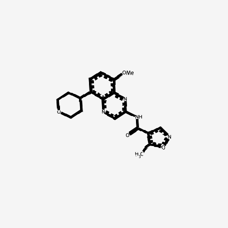 COc1ccc(C2CCOCC2)c2ncc(NC(=O)c3cnoc3C)nc12